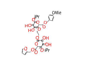 COc1ccc(COC(=O)C2O[C@@H](OC(C)C)[C@@H](O)[C@@H](O)[C@@H]2OCCO[C@@H]2OC(C(=O)OCc3ccco3)[C@@H](OC(C)C)[C@H](O)[C@@H]2O)cc1